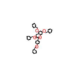 c1ccc(COC2=C(c3ccc(OCc4ccccc4)cc3)Oc3cc(OCc4ccccc4)cc(OCc4ccccc4)c3C2)cc1